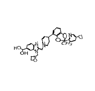 C[C@]1(c2ccc(Cl)cn2)Oc2cccc(C3C=CN(Cc4nc5ccc(C(O)O)cc5n4C[C@@H]4CCO4)CC3)c2O1